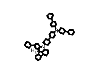 CC12c3ccccc3-c3cccc(c31)N(c1ccc(-c3ccc(N(c4ccc(-c5ccccc5)cc4)c4ccc(-c5ccccc5)cc4)cc3)cc1)c1ccc(-c3ccccc3)cc12